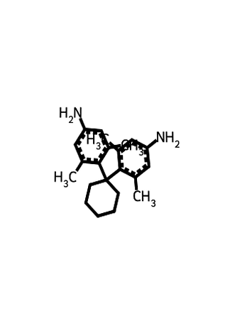 Cc1cc(N)cc(C)c1C1(c2c(C)cc(N)cc2C)CCCCC1